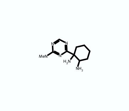 CNc1ncnc(C2(N)CCCCC2N)n1